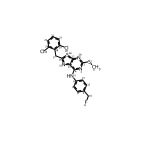 CSc1nc(Nc2ccc(CF)cc2)c2nc(Cc3c(Cl)cccc3Cl)sc2n1